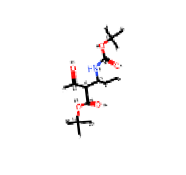 CCC(NC(=O)OC(C)(C)C)C(C(C)=O)C(=O)OC(C)(C)C